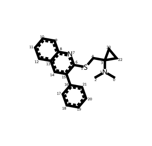 CN(C)C1(CSc2nc3ccccc3cc2-c2ccccc2)CC1